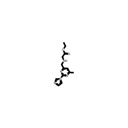 CCOC(=O)CNCc1cc(C)nc(-n2ccnc2)n1